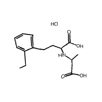 CCc1ccccc1CCC(NC(C)C(=O)O)C(=O)O.Cl